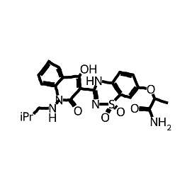 CC(C)CNn1c(=O)c(C2=NS(=O)(=O)c3cc(OC(C)C(N)=O)ccc3N2)c(O)c2ccccc21